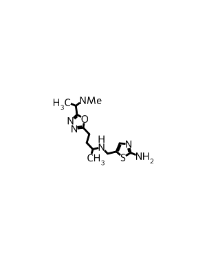 CNC(C)c1nnc(CCC(C)NCc2cnc(N)s2)o1